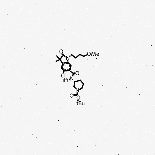 COCCCCN1C(=O)C(C)(C)c2cc(Cl)c(C(=O)N(C(C)C)[C@@H]3CCCN(C(=O)OC(C)(C)C)C3)cc21